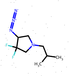 C[C](C)CN1CC(N=[N+]=[N-])C(F)(F)C1